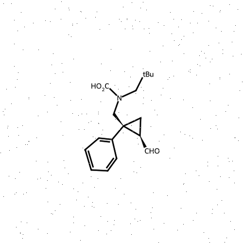 CC(C)(C)CN(C[C@@]1(c2ccccc2)C[C@H]1C=O)C(=O)O